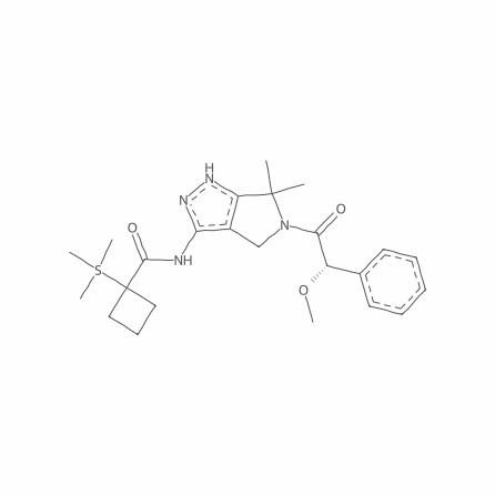 CO[C@H](C(=O)N1Cc2c(NC(=O)C3(S(C)(C)C)CCC3)n[nH]c2C1(C)C)c1ccccc1